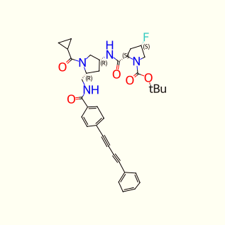 CC(C)(C)OC(=O)N1C[C@@H](F)C[C@H]1C(=O)N[C@@H]1C[C@H](CNC(=O)c2ccc(C#CC#Cc3ccccc3)cc2)N(C(=O)C2CC2)C1